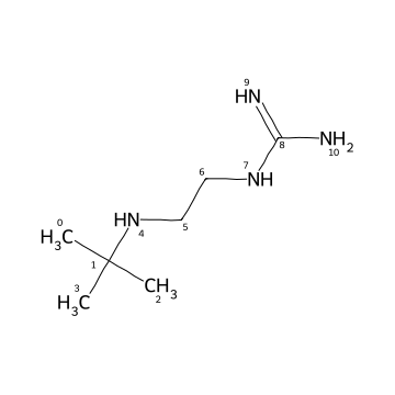 CC(C)(C)NCCNC(=N)N